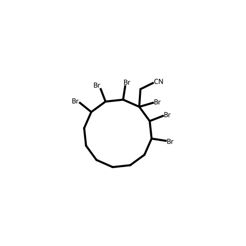 N#CCC1(Br)C(Br)C(Br)CCCCCCC(Br)C(Br)C1Br